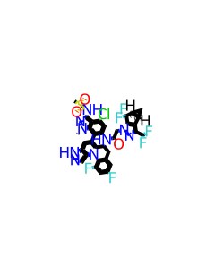 Cn1nc(NS(C)(=O)=O)c2c(Cl)ccc(-c3cc4[nH]ncc4nc3C(Cc3cc(F)cc(F)c3)NC(=O)Cn3nc(C(F)F)c4c3C(F)(F)[C@@H]3C[C@H]43)c21